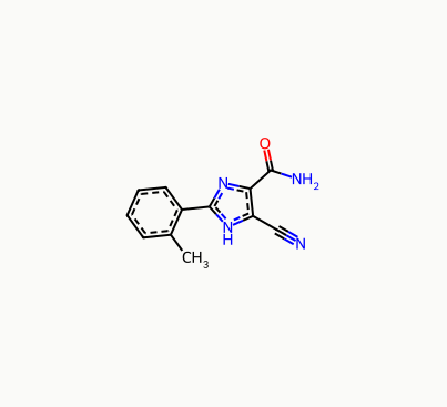 Cc1ccccc1-c1nc(C(N)=O)c(C#N)[nH]1